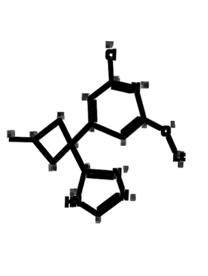 CCOc1cc(C2(c3nnc[nH]3)CC(C)C2)cc(Cl)n1